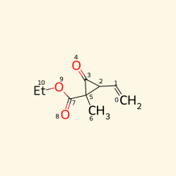 C=CC1C(=O)C1(C)C(=O)OCC